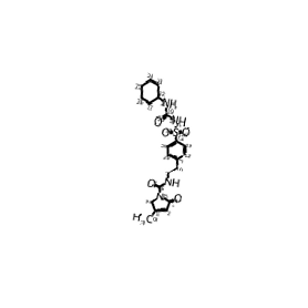 CC1=CC(=O)N(C(=O)NCCc2ccc(S(=O)(=O)NC(=O)NC3CCCCC3)cc2)C1